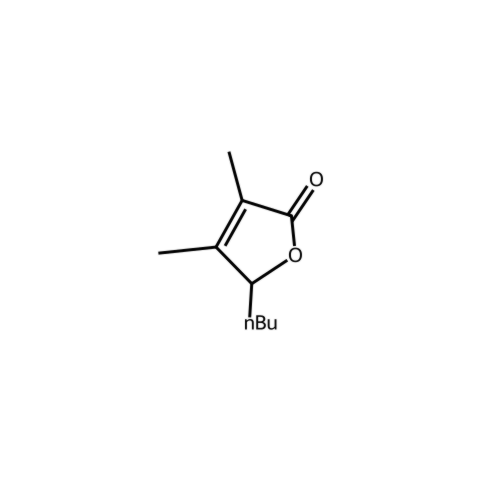 CCCCC1OC(=O)C(C)=C1C